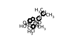 Cc1cc(N2CCC([N+](C)(C(=O)N(C)c3ccc(C)c(Cl)c3)C3CCc4ccc(OC(=O)O)cc43)CC2)cc(C)n1